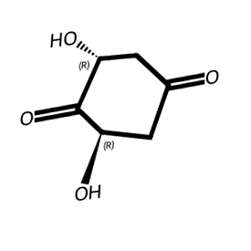 O=C1C[C@@H](O)C(=O)[C@H](O)C1